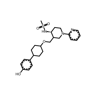 CS(=O)(=O)N[C@H]1CCN(c2ccccn2)CC1COC1CCC(c2ccc(O)cc2)CC1